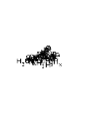 CCc1c(N2CCN(c3c(C)nn(C(C)C)c3O)CC2)c(=O)n2nc(C3=CCOCC3)nc2n1CC(=O)Nc1cc(F)c(C(F)(F)F)cc1C